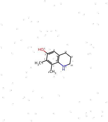 Cc1c(O)cc2c(c1C)NCCC2